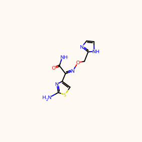 [NH]C(=O)C(=NOCc1ncc[nH]1)c1csc(N)n1